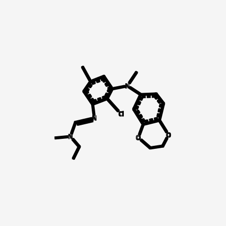 CCN(C)C=Nc1cc(C)cc(N(C)c2ccc3c(c2)OCCO3)c1Cl